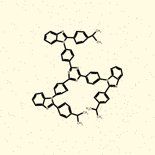 CC(C)c1ccc(-c2nc3ccccc3n2-c2ccc(-c3nc(-c4ccc(-n5c(-c6ccc(C(C)C)cc6)nc6ccccc65)cc4)nc(-c4ccc(-n5c(-c6ccc(C(C)C)cc6)nc6ccccc65)cc4)n3)cc2)cc1